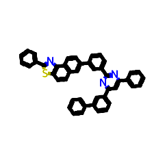 c1ccc(-c2cccc(-c3cc(-c4ccccc4)nc(-c4cccc(-c5ccc6c(ccc7sc(-c8ccccc8)nc76)c5)c4)n3)c2)cc1